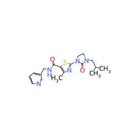 Cc1nc(N2CCN(CC(C)C)C2=O)sc1C(=O)NCc1cccnc1